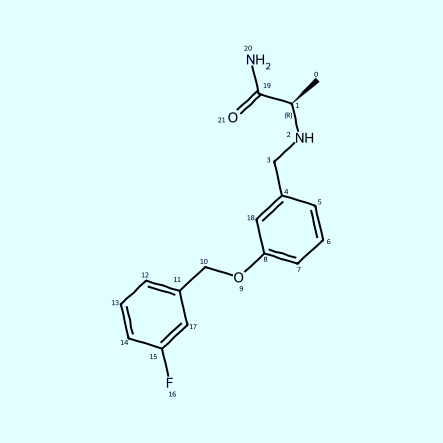 C[C@@H](NCc1cccc(OCc2cccc(F)c2)c1)C(N)=O